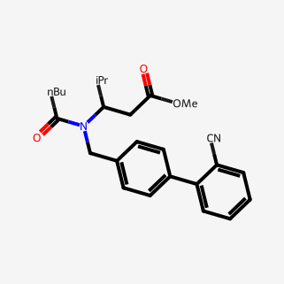 CCCCC(=O)N(Cc1ccc(-c2ccccc2C#N)cc1)C(CC(=O)OC)C(C)C